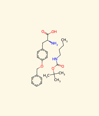 CCCCNC(=O)OC(C)(C)C.N[C@@H](Cc1ccc(OCc2ccccc2)cc1)C(=O)O